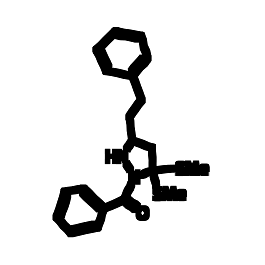 CSC1(SC)CC(CCc2ccccc2)NN1C(=O)c1ccccc1